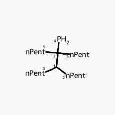 CCCCCC(CCCCC)C(P)(CCCCC)CCCCC